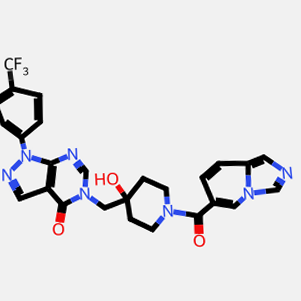 O=C(c1ccc2cncn2c1)N1CCC(O)(Cn2cnc3c(cnn3-c3ccc(C(F)(F)F)cc3)c2=O)CC1